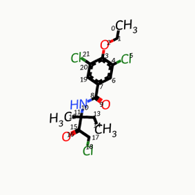 CCOc1c(Cl)cc(C(=O)NC(C)(CC)C(=O)CCl)cc1Cl